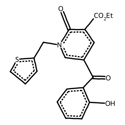 CCOC(=O)c1cc(C(=O)c2ccccc2O)cn(Cc2cccs2)c1=O